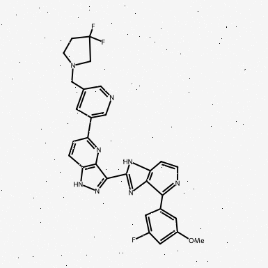 COc1cc(F)cc(-c2nccc3[nH]c(-c4n[nH]c5ccc(-c6cncc(CN7CCC(F)(F)C7)c6)nc45)nc23)c1